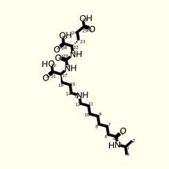 CC(C)NC(=O)CCCCCCCNCCC[C@H](NC(=O)N[C@@H](CCC(=O)O)C(=O)O)C(=O)O